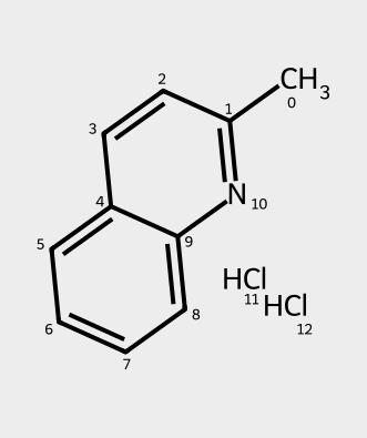 Cc1ccc2ccccc2n1.Cl.Cl